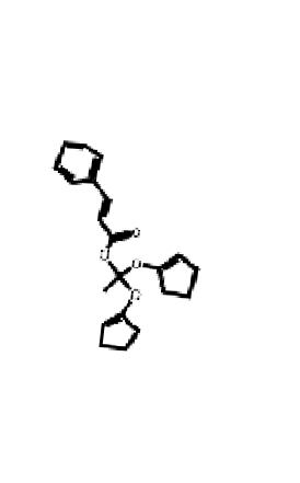 CC(OC(=O)C=Cc1ccccc1)(OC1=CCCC1)OC1=CCCC1